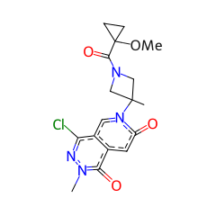 COC1(C(=O)N2CC(C)(n3cc4c(Cl)nn(C)c(=O)c4cc3=O)C2)CC1